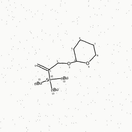 C=[C](COC1CCCCO1)[Sn]([CH2]CCC)([CH2]CCC)[CH2]CCC